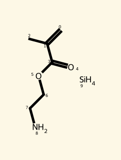 C=C(C)C(=O)OCCN.[SiH4]